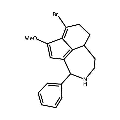 COC1=CC2=C3C1=C(Br)CCC3CCNC2c1ccccc1